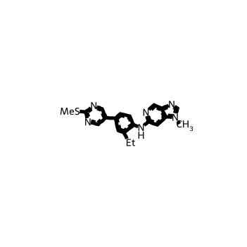 CCc1cc(-c2cnc(SC)nc2)ccc1Nc1cc2c(cn1)ncn2C